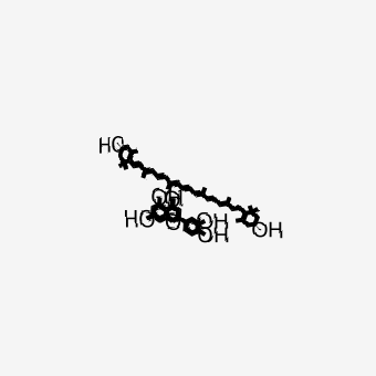 CC1=C(/C=C/C(C)=C/C=C/C(C)=C/C=C/C=C(C)/C=C/C=C(C)/C=C/C2=C(C)C[C@@H](O)CC2(C)C)C(C)(C)C[C@H](O)C1.O=c1cc(-c2ccc(O)c(O)c2)oc2cc(O)cc(O)c12